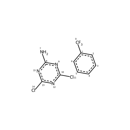 FC(F)(F)c1ccccc1.Nc1nc(Cl)nc(Cl)n1